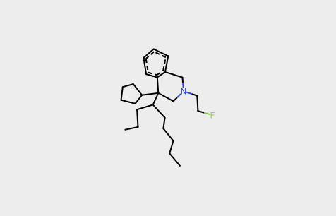 CCCCCC(CCC)C1(C2CCCC2)CN(CCF)Cc2ccccc21